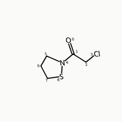 O=C(CCl)N1CCCS1